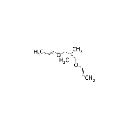 CC=COCC(C)(C)COC=CC